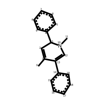 CC1=CC(c2ccccc2)N(C)C=C1c1ccccc1